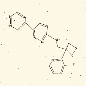 Fc1cccnc1C1(CNc2ccc(-c3ccnnc3)nn2)CCC1